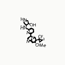 COc1cc2ncc(-c3cccc(NC4CNCC4O)n3)n2cc1C1(C(F)(F)F)CC1